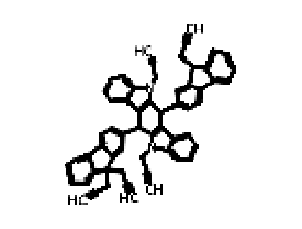 C#CCC1c2ccccc2-c2ccc(C3c4c(n(CC#C)c5ccccc45)C(c4ccc5c(c4)C(CC#C)(CC#C)c4ccccc4-5)c4c3n(CC#C)c3ccccc43)cc21